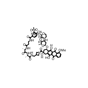 COc1cccc2c1C(=O)c1c(O)c3c(c(O)c1C2=O)C[C@@](O)(C(=O)N1CC(CNC(=O)[C@H](C)NC(=O)[C@H](C)NC(=O)CCNC(=O)c2ccc(C#N)c(S(C)(=O)=O)n2)C1)C[C@@H]3O[C@H]1C[C@H]2[C@H](O[C@@H]3[C@@H](OC)OCCN32)[C@H](C)O1